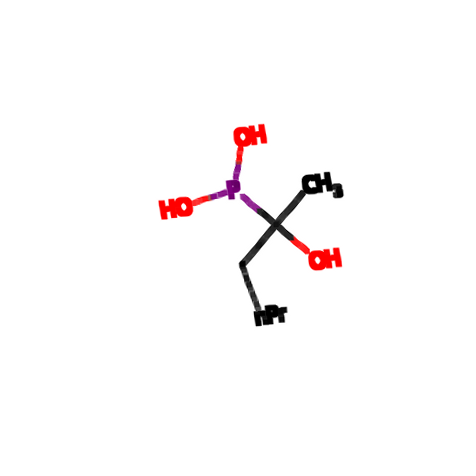 CCCCC(C)(O)P(O)O